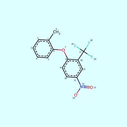 Cc1ccccc1Oc1ccc([N+](=O)[O-])cc1C(F)(F)F